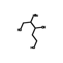 CCCCC(CO)C(O)CCO